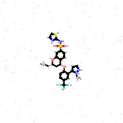 CC[C@H]1C[C@@H](Oc2ccc(C(F)(F)F)cc2-c2ccnn2C)c2ccc(S(=O)(=O)Nc3nccs3)cc2O1